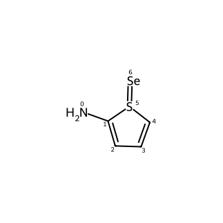 NC1=CC=CS1=[Se]